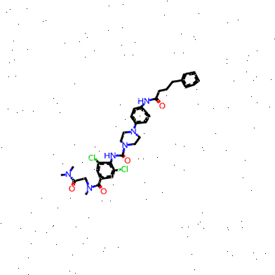 CN(C)C(=O)CN(C)C(=O)c1cc(Cl)c(NC(=O)N2CCN(c3ccc(NC(=O)CCCc4ccccc4)cc3)CC2)c(Cl)c1